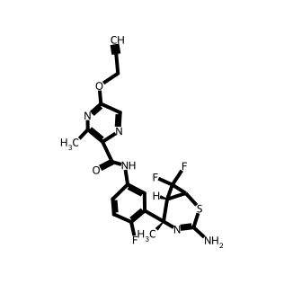 C#CCOc1cnc(C(=O)Nc2ccc(F)c([C@@]3(C)N=C(N)SC4[C@H]3C4(F)F)c2)c(C)n1